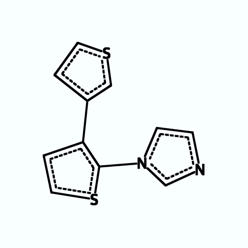 c1cn(-c2sccc2-c2ccsc2)cn1